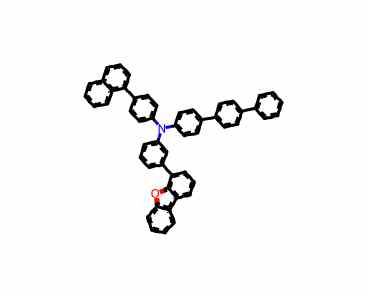 c1ccc(-c2ccc(-c3ccc(N(c4ccc(-c5cccc6ccccc56)cc4)c4cccc(-c5cccc6c5oc5ccccc56)c4)cc3)cc2)cc1